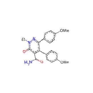 CCn1nc(-c2ccc(OC)cc2)c(-c2ccc(OC)cc2)c(C(N)=O)c1=O